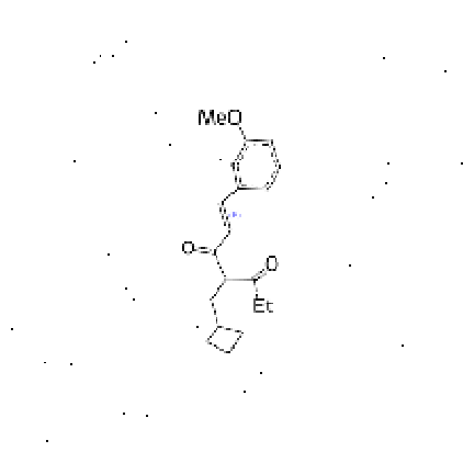 CCC(=O)C(CC1CCC1)C(=O)/C=C/c1cccc(OC)c1